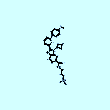 COc1ccc(-c2cccc(-c3nc4ccc(C(=O)NCCCN(C)C)cc4n3C3CCC3)n2)cc1